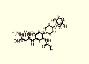 C=CC(=O)Nc1cc(NC(=N)/C=C(/N=O)NN)c(OC)cc1N1CCC(N2C[C@@H]3C[C@H]2CO3)CC1